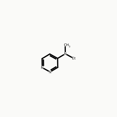 CCN(C)c1[c]nncc1